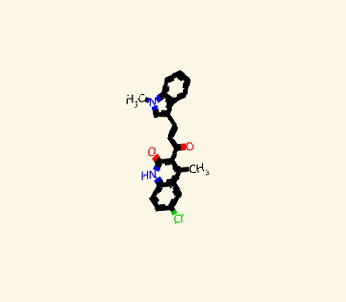 Cc1c(C(=O)/C=C/c2cn(C)c3ccccc23)c(=O)[nH]c2ccc(Cl)cc12